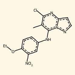 CCOc1ccc(Nc2c(C)c(Cl)nc3ccnn23)cc1[N+](=O)[O-]